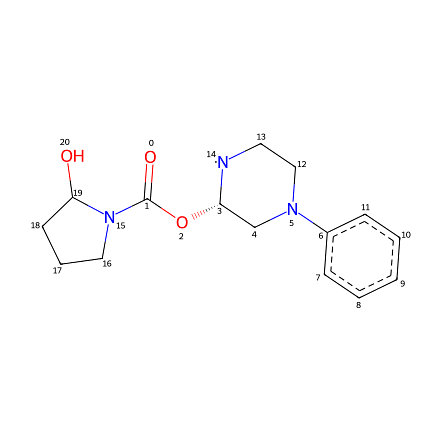 O=C(O[C@H]1CN(c2ccccc2)CC[N]1)N1CCCC1O